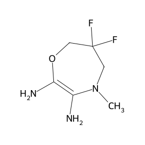 CN1CC(F)(F)COC(N)=C1N